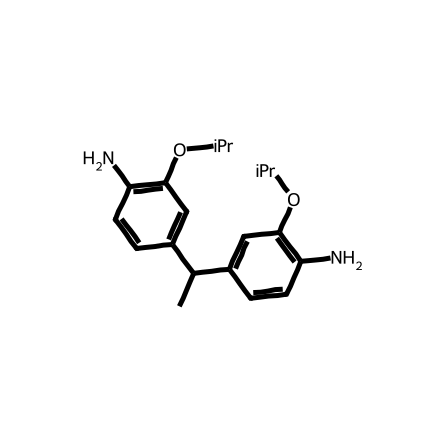 CC(C)Oc1cc(C(C)c2ccc(N)c(OC(C)C)c2)ccc1N